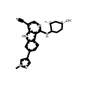 C[C@@H]1C[C@H](O)CCC1Nc1ncc(C#N)c2[nH]c3cc(-c4cnn(C)c4)ccc3c12